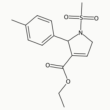 CCOC(=O)C1=CCN(S(C)(=O)=O)C1c1ccc(C)cc1